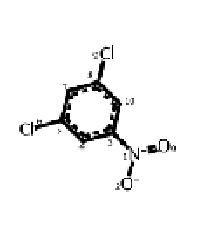 O=[N+]([O-])c1cc(Cl)[c]c(Cl)c1